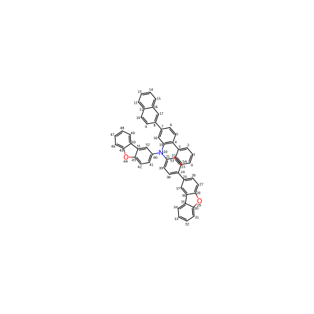 c1ccc(-c2ccc(-c3ccc4ccccc4c3)cc2N(c2ccc(-c3ccc4oc5ccccc5c4c3)cc2)c2ccc3oc4ccccc4c3c2)cc1